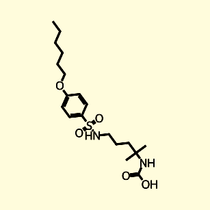 CCCCCCOc1ccc(S(=O)(=O)NCCCC(C)(C)NC(=O)O)cc1